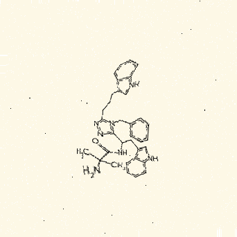 CC(C)(N)C(=O)NC(Cc1c[nH]c2ccccc12)c1nnc(CCCc2c[nH]c3ccccc23)n1Cc1ccccc1